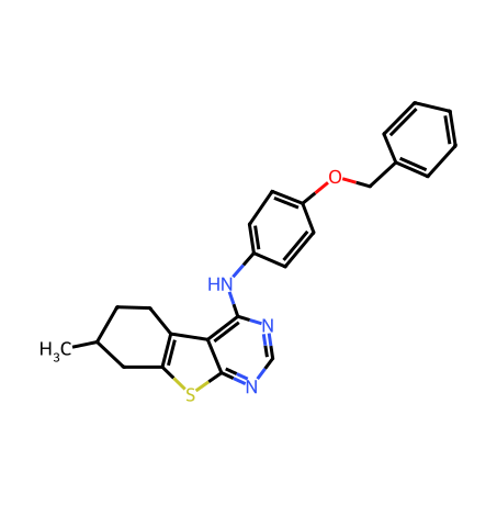 CC1CCc2c(sc3ncnc(Nc4ccc(OCc5ccccc5)cc4)c23)C1